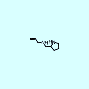 C=CCNCC1CCCN1